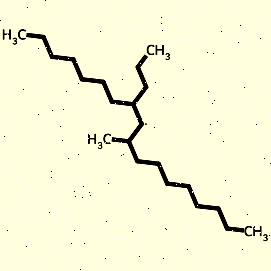 CCCCCCCCC(C)[CH]C(CCC)CCCCCCC